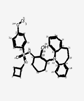 O=S(=NC1CCC1)(NC1CCCC(N2c3ccccc3CCc3ccccc32)C1O)c1ccc(OC(F)(F)F)cc1